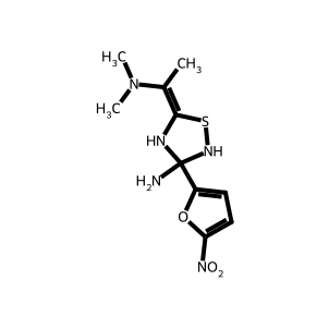 CC(=C1NC(N)(c2ccc([N+](=O)[O-])o2)NS1)N(C)C